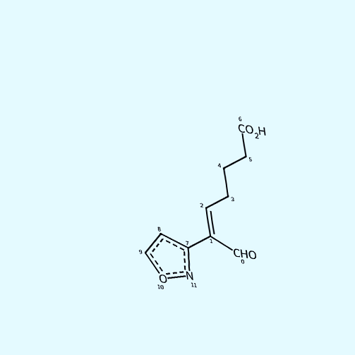 O=CC(=CCCCC(=O)O)c1ccon1